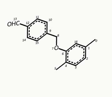 Cc1ccc(C)c(OCc2ccc(C=O)cc2)c1